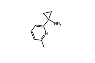 Cc1cccc(C2(N)CC2)n1